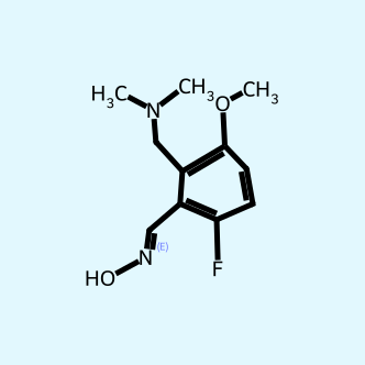 COc1ccc(F)c(/C=N/O)c1CN(C)C